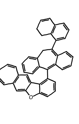 C1=Cc2cc3oc4cccc(C5=c6ccccc6=C(c6cccc7c6CCC=C7)Cc6ccccc65)c4c3cc2C=CC1